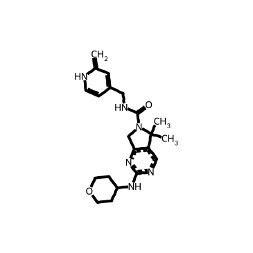 C=C1C=C(CNC(=O)N2Cc3nc(NC4CCOCC4)ncc3C2(C)C)C=CN1